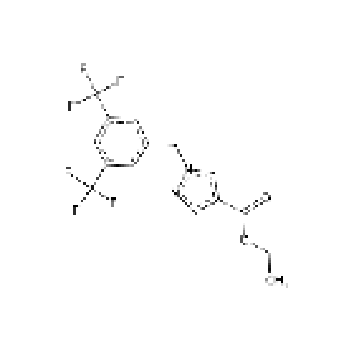 CCOC(=O)c1cn(Cc2cc(C(F)(F)F)cc(C(F)(F)F)c2)nn1